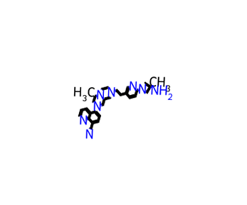 CC1CN(c2ccc(C#N)c3ncccc23)CC2CN(CCc3ccc(N4CC(C)(N)C4)nc3)CCN12